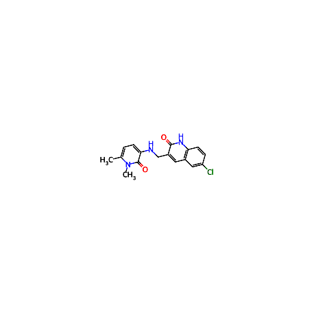 Cc1ccc(NCc2cc3cc(Cl)ccc3[nH]c2=O)c(=O)n1C